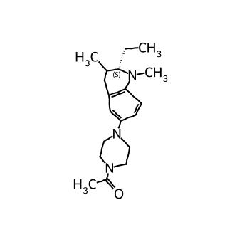 CC[C@H]1C(C)Cc2cc(N3CCN(C(C)=O)CC3)ccc2N1C